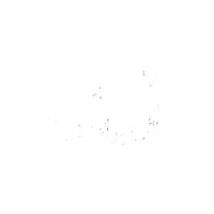 C=C1C[C@@H]2CC[C@@]34C[C@H]5OC6[C@@H](O[C@H]7CCC(CC(=O)O[C@H]8C(C[C@H]9OC(CCC1O2)C[C@@H](C)C9=C)OC1C[C@@H](O[Si](C)(C)C(C)(C)C)[C@@H](CCC)O[C@H]1[C@@H]8C)O[C@@H]7[C@@H]6O3)[C@H]5O4